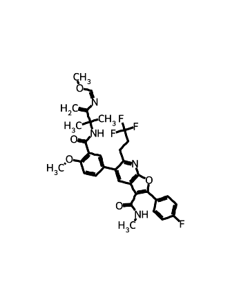 C=C(/N=C\OC)C(C)(C)NC(=O)c1cc(-c2cc3c(C(=O)NC)c(-c4ccc(F)cc4)oc3nc2CCC(F)(F)F)ccc1OC